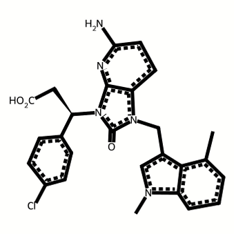 Cc1cccc2c1c(Cn1c(=O)n([C@H](CC(=O)O)c3ccc(Cl)cc3)c3nc(N)ccc31)cn2C